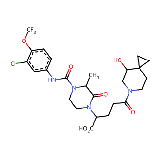 CC1C(=O)N(C(CCC(=O)N2CCC3(CC3)C(O)C2)C(=O)O)CCN1C(=O)Nc1ccc(OC(F)(F)F)c(Cl)c1